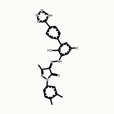 CC1=NN(c2ccc(C)c(C)c2)C(=O)/C1=N\Nc1cc(Cl)cc(-c2ccc(-c3nnn[nH]3)cc2)c1O